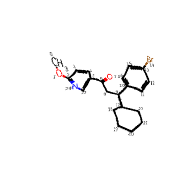 COc1ccc(C(=O)CC(c2ccc(Br)cc2)C2CCCCC2)cn1